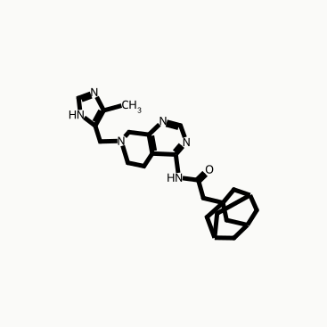 Cc1nc[nH]c1CN1CCc2c(ncnc2NC(=O)CC23CC4CC(CC(C4)C2)C3)C1